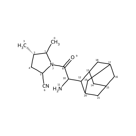 CC1[C@@H](C)CC(C#N)N1C(=O)C(N)C1C2CC3CC(C2)CC1C3